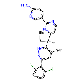 CCCc1cc(-c2c(F)cccc2F)nnc1[C@@](C)(CC(C)(C)C)c1ccnc(-c2ccc(N)nc2)n1